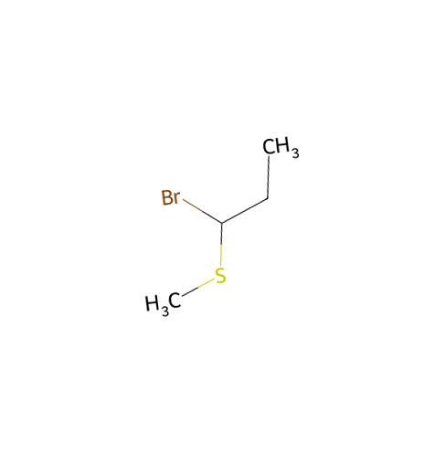 CCC(Br)SC